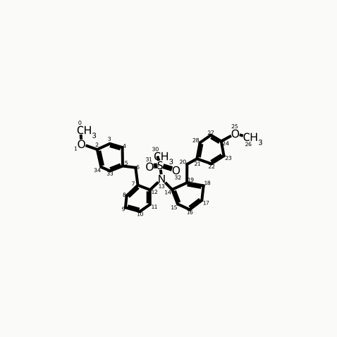 COc1ccc(Cc2ccccc2N(c2ccccc2Cc2ccc(OC)cc2)S(C)(=O)=O)cc1